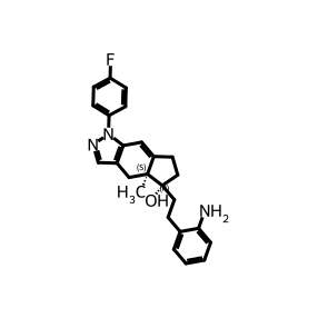 C[C@]12Cc3cnn(-c4ccc(F)cc4)c3C=C1CC[C@@]2(O)CCc1ccccc1N